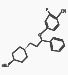 CCCC[C@H]1CC[C@H](CCC(Oc2ccc(C#N)c(F)c2)c2ccccc2)CC1